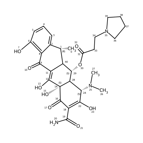 C[C@H]1c2cccc(O)c2C(=O)C2=C(O)[C@]3(O)C(=O)C(C(N)=O)=C(O)[C@@H](N(C)C)C3[C@@H](OC(=O)CCN3CCCC3)C21